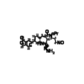 CCCN(CCCN=O)C(=O)C1=CC2=CC=C(c3ccc4c(c3)C(=O)OC4)CC2NC(N=NN)C1